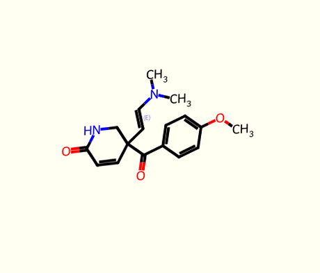 COc1ccc(C(=O)C2(/C=C/N(C)C)C=CC(=O)NC2)cc1